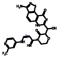 N=C(/C=C\Nc1ccnc(C(F)(F)F)c1)N1CCOC(C(O)c2nc(=O)c3c(ccc4c(N)nsc43)[nH]2)C1=O